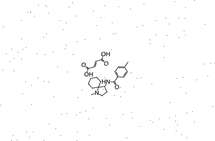 Cc1ccc(C(=O)NC2CCN(C)C23CCCCC3)cc1.O=C(O)C=CC(=O)O